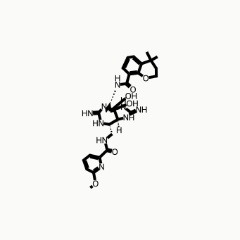 COc1cccc(C(=O)NC[C@@H]2NC(=N)N3C[C@H](NC(=O)c4cccc5c4OCCC5(C)C)C(O)(O)[C@@]34NC(=N)N[C@@H]24)n1